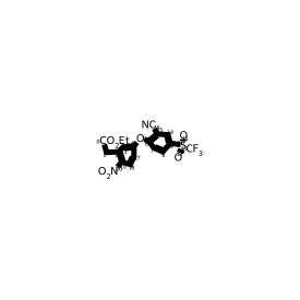 CCOC(=O)Cc1cc(Oc2ccc(S(=O)(=O)C(F)(F)F)cc2C#N)ccc1[N+](=O)[O-]